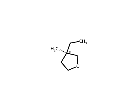 CC[C@]1(C)CCOC1